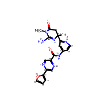 CN1C(=O)CC(C)(c2cc(NC(=O)c3cnc(-c4ccco4)cn3)ccn2)N=C1N